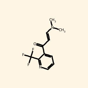 CN(C)C=CC(=O)c1cccnc1C(F)(F)F